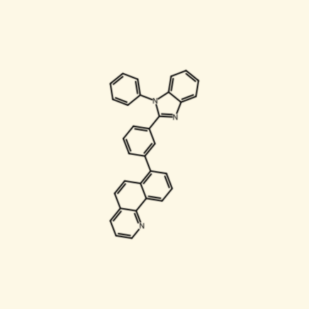 c1ccc(-n2c(-c3cccc(-c4cccc5c4ccc4cccnc45)c3)nc3ccccc32)cc1